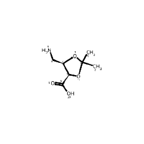 CC1(C)O[C@H](CN)[C@H](C(=O)O)O1